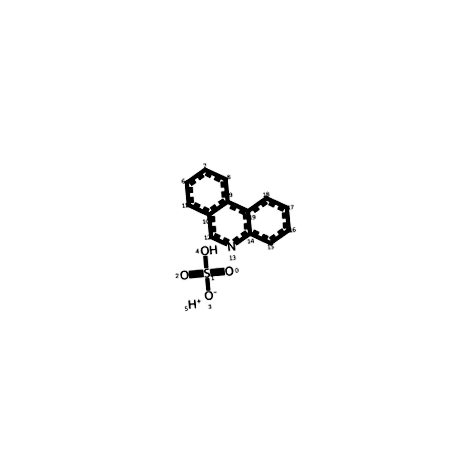 O=S(=O)([O-])O.[H+].c1ccc2c(c1)cnc1ccccc12